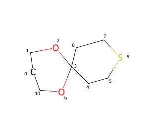 C1COC2(CCSCC2)OC1